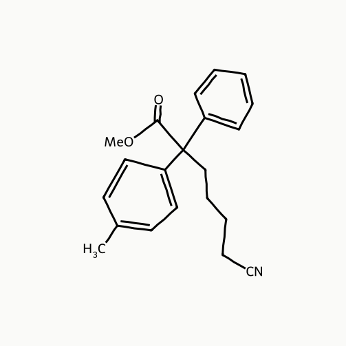 COC(=O)C(CCCCC#N)(c1ccccc1)c1ccc(C)cc1